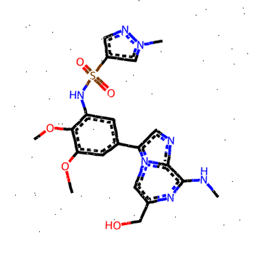 CNc1nc(CO)cn2c(-c3cc(NS(=O)(=O)c4cnn(C)c4)c(OC)c(OC)c3)cnc12